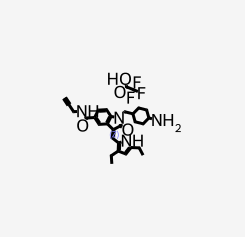 C#CCNC(=O)c1ccc2c(c1)/C(=C/c1[nH]c(CC)cc1CC)C(=O)N2CC1CCC(N)CC1.O=C(O)C(F)(F)F